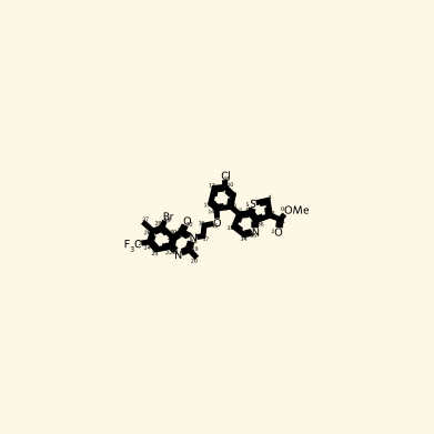 COC(=O)c1csc2c(-c3cc(Cl)ccc3OCCn3c(C)nc4cc(C(F)(F)F)c(C)c(Br)c4c3=O)ccnc12